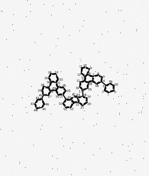 c1ccc(-c2ccc3c4ccccc4c4ccc(-c5cccc6c5sc5c(-c7ccc8c9ccccc9c9ccc(-c%10ccccc%10)cc9c8c7)cccc56)cc4c3c2)cc1